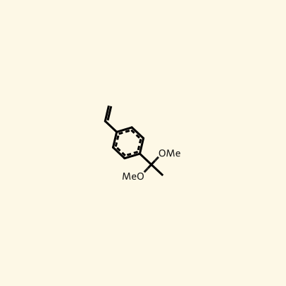 C=Cc1ccc(C(C)(OC)OC)cc1